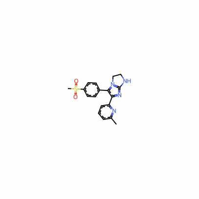 Cc1cccc(-c2nc3n(c2-c2ccc(S(C)(=O)=O)cc2)CCN3)n1